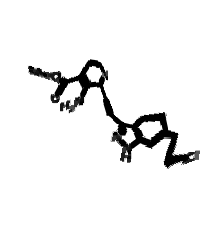 COC(=O)c1ccnc(C#Cc2n[nH]c3cc(CCCl)ccc23)c1N